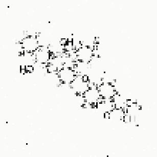 CN(C)C(=O)c1cccc2c(Oc3ccc(C[C@@H](CO)N(Cc4ccccc4)C[C@@H](O)c4cccc(Cl)c4)cc3)ccnc12